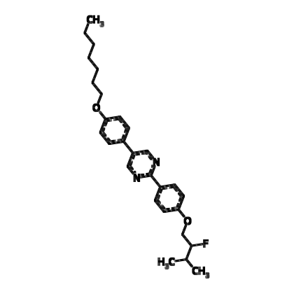 CCCCCCCOc1ccc(-c2cnc(-c3ccc(OCC(F)C(C)C)cc3)nc2)cc1